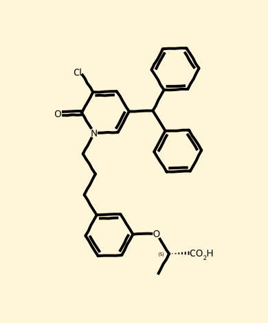 C[C@H](Oc1cccc(CCCn2cc(C(c3ccccc3)c3ccccc3)cc(Cl)c2=O)c1)C(=O)O